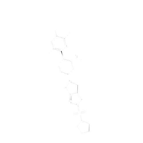 N[C@@H]1C[C@H](N2Cc3cn(S(=O)(=O)C4CCCC4)nc3C2)CO[C@H]1c1cc(F)c(F)cc1F